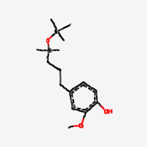 COc1cc(CCC[Si](C)(C)O[Si](C)(C)C)ccc1O